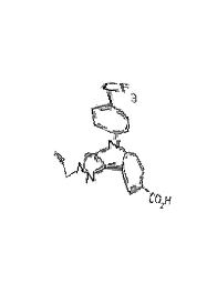 C#CCn1cc2c(n1)c1cc(C(=O)O)ccc1n2-c1ccc(C(F)(F)F)cc1